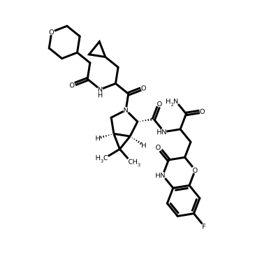 CC1(C)[C@@H]2[C@@H](C(=O)NC(CC3Oc4cc(F)ccc4NC3=O)C(N)=O)N(C(=O)C(CC3CC3)NC(=O)CC3CCOCC3)C[C@@H]21